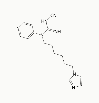 N#CNC(=N)N(CCCCCCn1ccnc1)c1ccncc1